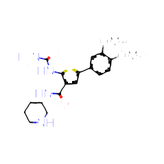 COc1ccc(-c2cc(C(=O)N[C@H]3CCCNC3)c(NC(N)=O)s2)cc1OC